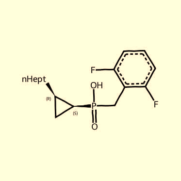 CCCCCCC[C@@H]1C[C@@H]1P(=O)(O)Cc1c(F)cccc1F